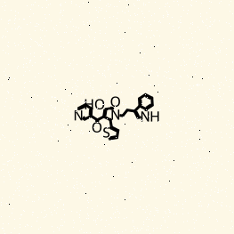 O=C(C1=C(O)C(=O)N(CCc2c[nH]c3ccccc23)C1c1cccs1)c1cccnc1